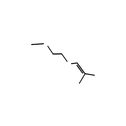 COCCOC=C(C)C